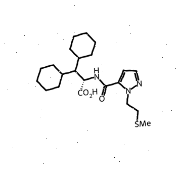 CSCCn1nccc1C(=O)N[C@H](C(=O)O)C(C1CCCCC1)C1CCCCC1